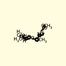 CCOC(=O)[C@@]1(CC)[C@@H]2Cc3cc(OCc4ccc(C)c(-c5cnc6c(ccn6CCCS(C)(=O)=O)c5)c4)ccc3[C@H]21